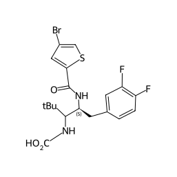 CC(C)(C)C(NC(=O)O)[C@H](Cc1ccc(F)c(F)c1)NC(=O)c1cc(Br)cs1